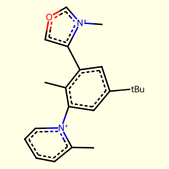 Cc1c(-c2coc[n+]2C)cc(C(C)(C)C)cc1-[n+]1ccccc1C